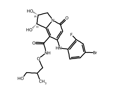 CC(CO)CONC(=O)c1c(Nc2ccc(Br)cc2F)cc(=O)n2c1[C@H](O)[C@H](O)C2